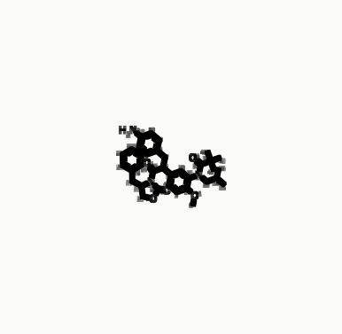 COc1ccc(C(Cc2ccc(N)cc2)C(=O)N2C(=O)OCC2Cc2ccccc2)cc1N(CC(C)C)C(=O)C(C)(C)C